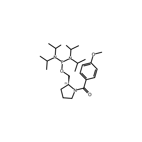 COc1ccc(C(=O)N2CCC[C@H]2COP(N(C(C)C)C(C)C)N(C(C)C)C(C)C)cc1